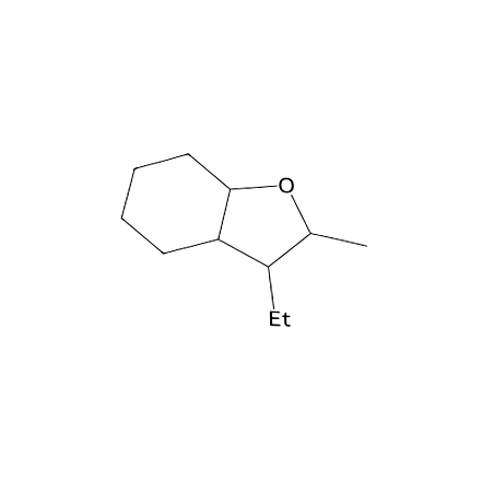 CCC1C(C)OC2CCCCC21